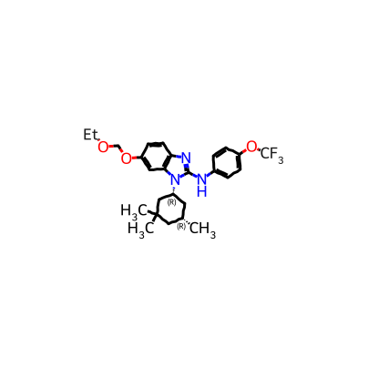 CCOCOc1ccc2nc(Nc3ccc(OC(F)(F)F)cc3)n([C@@H]3C[C@H](C)CC(C)(C)C3)c2c1